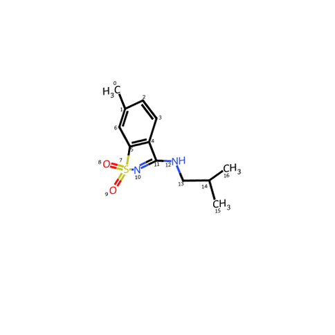 Cc1ccc2c(c1)S(=O)(=O)N=C2NCC(C)C